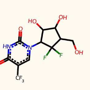 O=c1[nH]c(=O)n(C2C(O)C(O)C(CO)C2(F)F)cc1C(F)(F)F